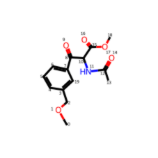 COCc1cccc(C(=O)C(NC(C)=O)C(=O)OC)c1